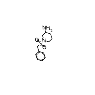 NC1CCCN(S(=O)(=O)Cc2ccccc2)C1